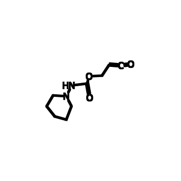 O=C=CCOC(=O)NN1CCCCC1